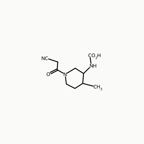 CC1CCN(C(=O)CC#N)CC1NC(=O)O